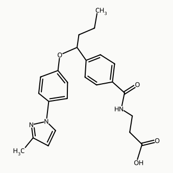 CCCC(Oc1ccc(-n2ccc(C)n2)cc1)c1ccc(C(=O)NCCC(=O)O)cc1